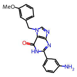 COc1cccc(Cn2cnc3nc(-c4cccc(N)c4)[nH]c(=O)c32)c1